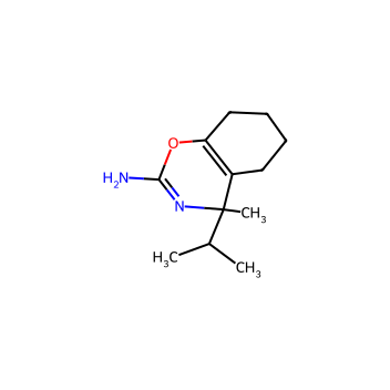 CC(C)C1(C)N=C(N)OC2=C1CCCC2